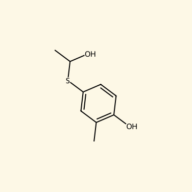 Cc1cc(SC(C)O)ccc1O